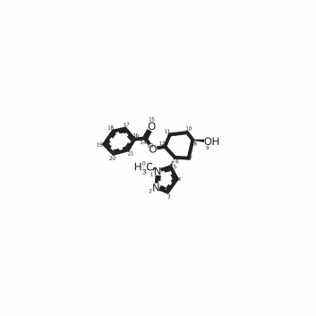 Cn1nccc1[C@H]1C[C@H](O)CCC1OC(=O)c1ccccc1